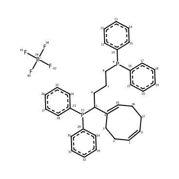 C1=CCCC(C(CCCP(c2ccccc2)c2ccccc2)P(c2ccccc2)c2ccccc2)=CCC1.F[B-](F)(F)F